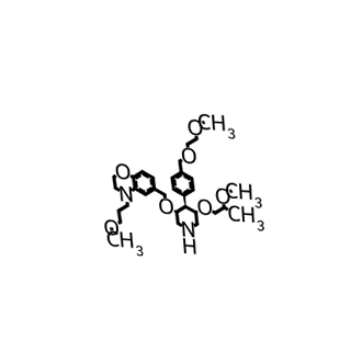 COCCCN1CCOc2ccc(CO[C@H]3CNC[C@@H](OCC(C)OC)[C@@H]3c3ccc(COCCOC)cc3)cc21